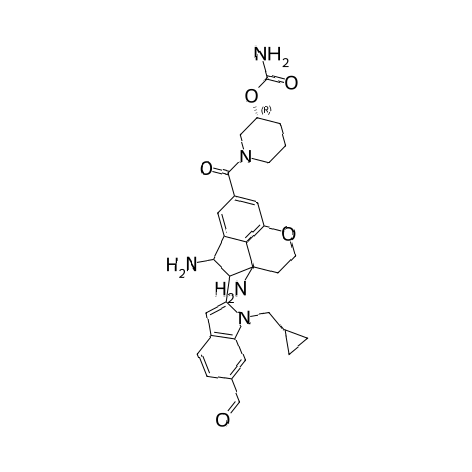 NC(=O)O[C@@H]1CCCN(C(=O)c2cc3c4c(c2)C(N)C(c2cc5ccc(C=O)cc5n2CC2CC2)C4(N)CCO3)C1